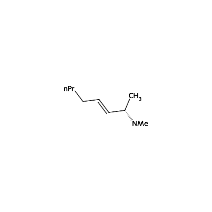 CCCC/C=C/[C@H](C)NC